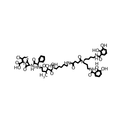 CC(CC(=O)NC(C(=O)N[C@@H]1C(=O)N2C(C(=O)O)=C(Cl)CSC12)c1ccccc1)C(C)C(=O)N(O)CCCCCNC(=O)CCC(=O)N(CCCCNC(=O)c1cccc(O)c1O)CCCNC(=O)c1cccc(O)c1O